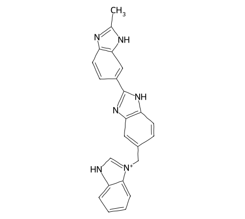 Cc1nc2ccc(-c3nc4cc(C[n+]5c[nH]c6ccccc65)ccc4[nH]3)cc2[nH]1